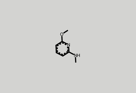 CNc1cccc(OC)n1